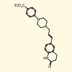 CCOC(=O)c1ccc(N2CCN(C/C=C/c3ccc4c(c3)CCC(=O)N4)CC2)cc1